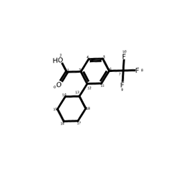 O=C(O)c1ccc(C(F)(F)F)cc1C1CCCCC1